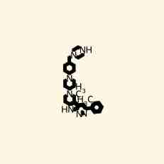 Cc1ccccc1-c1cc2c3c([nH]c2nn1)CCN(C1CCN(C2CCC(CN4CCNCC4)CC2)CC1)[C@@H]3C